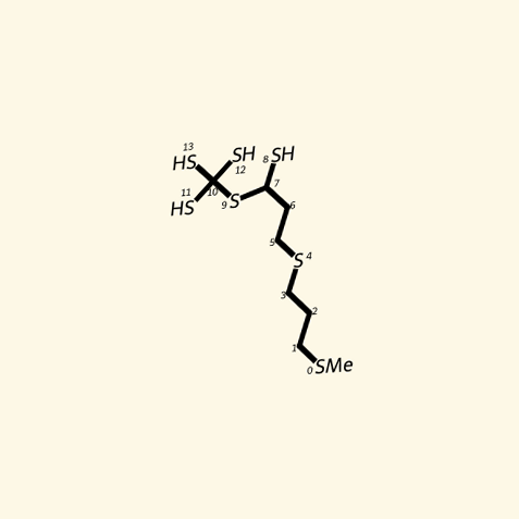 CSCCCSCCC(S)SC(S)(S)S